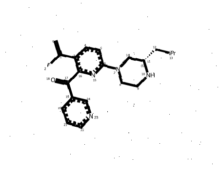 C=C(F)c1ccc(N2CCN[C@@H](CC(C)C)C2)nc1C(=O)c1cccnc1